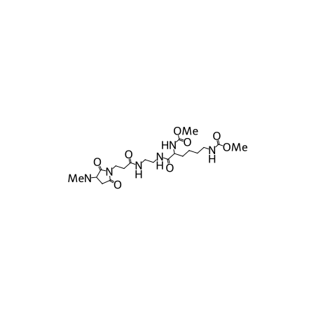 CNC1CC(=O)N(CCC(=O)NCCNC(=O)C(CCCCNC(=O)OC)NC(=O)OC)C1=O